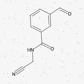 N#CCNC(=O)c1cccc(C=O)c1